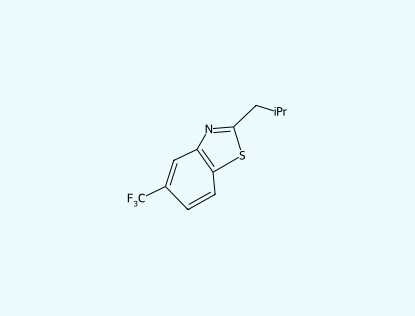 CC(C)Cc1nc2cc(C(F)(F)F)ccc2s1